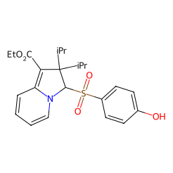 CCOC(=O)C1=C2C=CC=CN2C(S(=O)(=O)c2ccc(O)cc2)C1(C(C)C)C(C)C